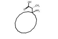 C[C@@H](C(=O)O)C1(N)CCCCCCCCCCCCCC1